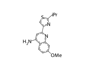 COc1ccc2c(N)cc(-c3csc(C(C)C)n3)nc2c1